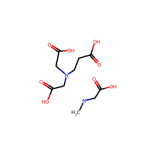 O=C(O)CCN(CC(=O)O)CC(=O)O.[CH2][N]CC(=O)O